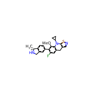 COc1c(-c2ccc3c(c2)CN[C@@H]3C)c(F)cc2c1N(C1CC1)c1sncc1C2